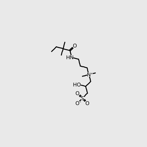 CCC(C)(C)C(=O)NCCC[N+](C)(C)CC(O)CS(=O)(=O)[O-]